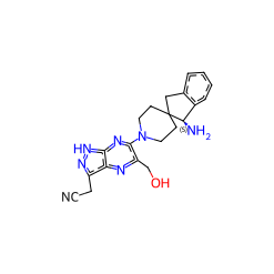 N#CCc1n[nH]c2nc(N3CCC4(CC3)Cc3ccccc3[C@H]4N)c(CO)nc12